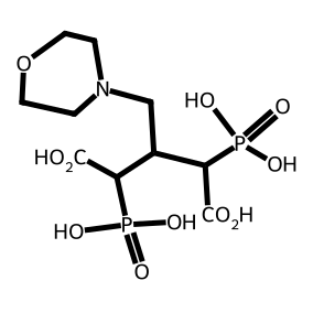 O=C(O)C(C(CN1CCOCC1)C(C(=O)O)P(=O)(O)O)P(=O)(O)O